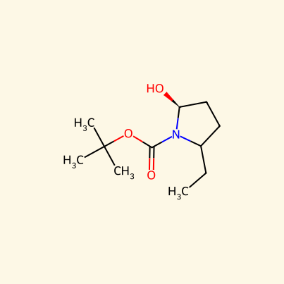 CCC1CC[C@H](O)N1C(=O)OC(C)(C)C